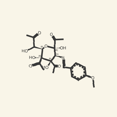 COc1ccc(C=N[C@@H]2[C@](O)(C(C)=O)O[C@H](C(O)C(C)=O)[C@](O)(C(C)=O)[C@@]2(O)C(C)=O)cc1